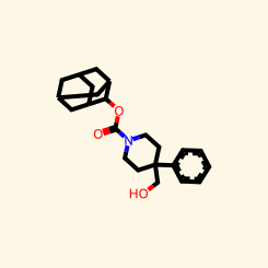 O=C(OC1C2CC3CC(C2)CC1C3)N1CCC(CO)(c2ccccc2)CC1